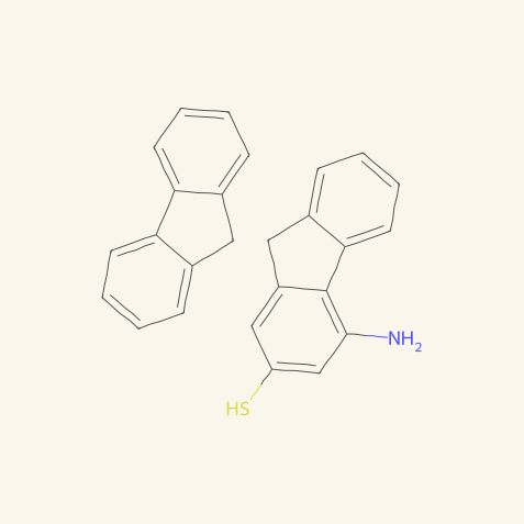 Nc1cc(S)cc2c1-c1ccccc1C2.c1ccc2c(c1)Cc1ccccc1-2